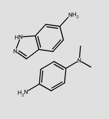 CN(C)c1ccc(N)cc1.Nc1ccc2cn[nH]c2c1